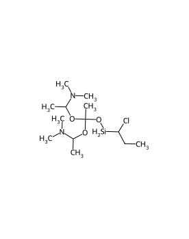 CCC(Cl)[SiH2]OC(C)(OC(C)N(C)C)OC(C)N(C)C